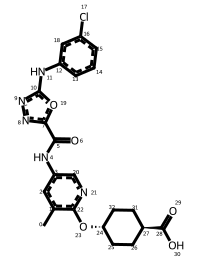 Cc1cc(NC(=O)c2nnc(Nc3cccc(Cl)c3)o2)cnc1O[C@H]1CC[C@H](C(=O)O)CC1